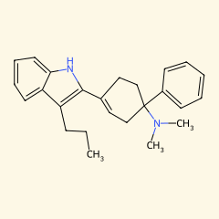 CCCc1c(C2=CCC(c3ccccc3)(N(C)C)CC2)[nH]c2ccccc12